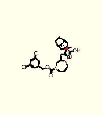 CC(c1cc2n(n1)CCCN(C(=O)OCc1cc(Cl)cc(Cl)c1)C2)N1C2CCC1CC(C(=O)O)C2